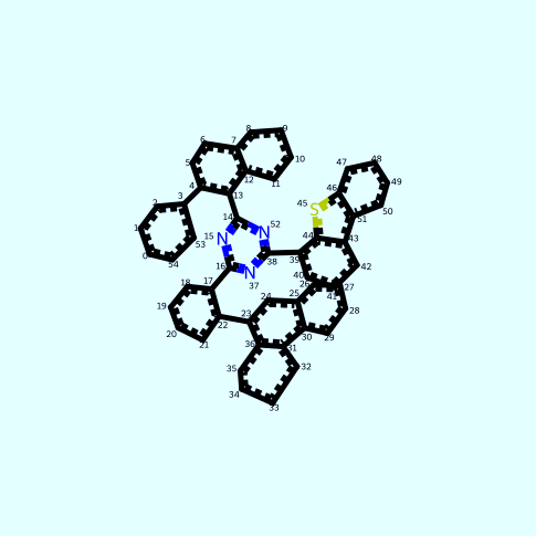 c1ccc(-c2ccc3ccccc3c2-c2nc(-c3ccccc3-c3cc4ccccc4c4ccccc34)nc(-c3cccc4c3sc3ccccc34)n2)cc1